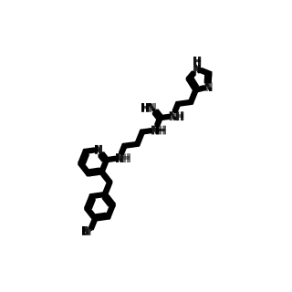 N=C(NCCCNc1ncccc1Cc1ccc(Br)cc1)NCCc1c[nH]cn1